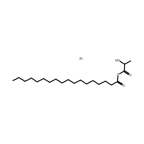 CCCCCCCCCCCCCCCCCC(=O)OC(=O)C(C)O.[Zn]